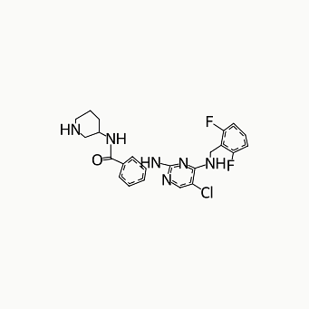 O=C(NC1CCCNC1)c1cccc(Nc2ncc(Cl)c(NCc3c(F)cccc3F)n2)c1